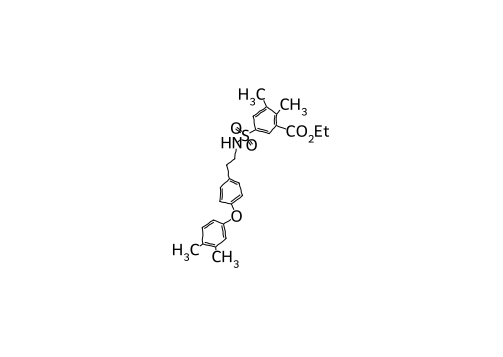 CCOC(=O)c1cc(S(=O)(=O)NCCc2ccc(Oc3ccc(C)c(C)c3)cc2)cc(C)c1C